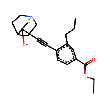 CCCc1cc(C(=O)OCC)ccc1C#CC1(O)CN2CCC1CC2